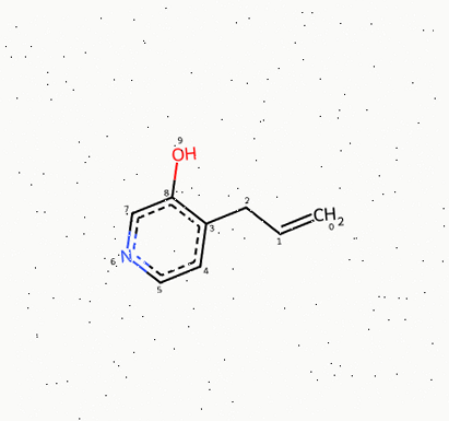 C=CCc1ccn[c]c1O